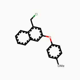 COc1ccc(Oc2cc(CCl)c3ccccc3c2)cc1